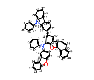 c1ccc(N(c2ccc3oc4ccccc4c3c2)c2cc(-c3ccc4c5ccccc5n(-c5ccccc5)c4c3)cc3c2oc2c4ccccc4ccc32)cc1